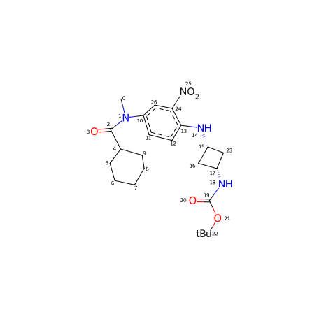 CN(C(=O)C1CCCCC1)c1ccc(N[C@H]2C[C@@H](NC(=O)OC(C)(C)C)C2)c([N+](=O)[O-])c1